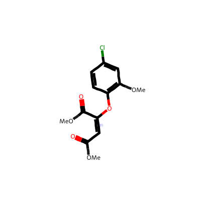 COC(=O)/C=C(/Oc1ccc(Cl)cc1OC)C(=O)OC